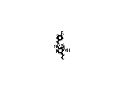 CCCC1C=NC(C(=O)NCc2ccc(F)cc2)=C(O)C1=N